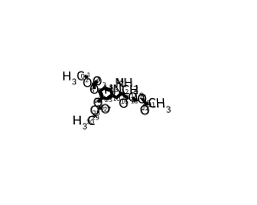 CCOC(=O)Oc1ccc(CC(C)(NN)C(=O)OCOC(C)=O)cc1OC(=O)OCC